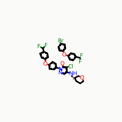 FC(F)c1ccc(Oc2ccc(Br)cc2)cc1.O=c1c(Cl)c(NC[C@H]2CCCOC2)cnn1-c1ccc(Oc2ccc(C(F)F)cc2)cc1